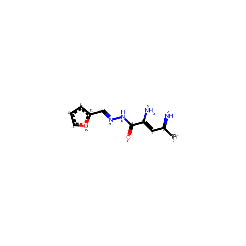 CC(C)C(=N)/C=C(\N)C(=O)N/N=C/c1ccco1